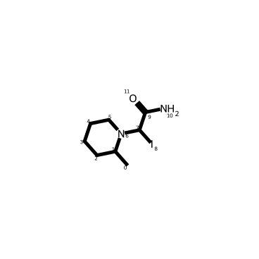 CC1CCCCN1C(I)C(N)=O